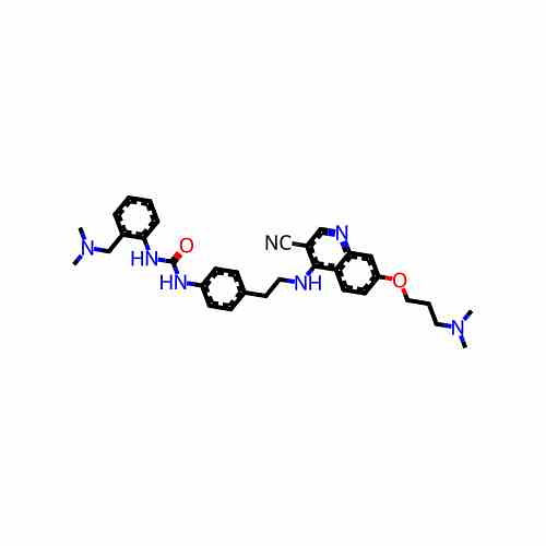 CN(C)CCCOc1ccc2c(NCCc3ccc(NC(=O)Nc4ccccc4CN(C)C)cc3)c(C#N)cnc2c1